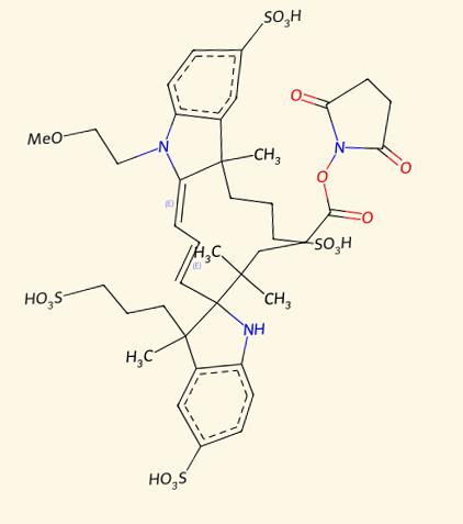 COCCN1/C(=C/C=C/C2(C(C)(C)CCC(=O)ON3C(=O)CCC3=O)Nc3ccc(S(=O)(=O)O)cc3C2(C)CCCS(=O)(=O)O)C(C)(CCCS(=O)(=O)O)c2cc(S(=O)(=O)O)ccc21